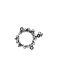 CC[C@H](C)[C@@H]1NC(=O)[C@H](CC(C)C)N(C)C(=O)C[C@@H](C)N(C)C(=O)[C@H](C2CCCCC2)N(C)C(=O)C2(CCC2)NC(=O)[C@@H]2CC(F)(F)CN2C(=O)[C@H](CCc2ccc(C(F)(F)F)c(Cl)c2)NC(=O)CN(C)C(=O)[C@H](CC2CCCCC2)N(C)C(=O)CN(C)C(=O)CN(C)C1=O